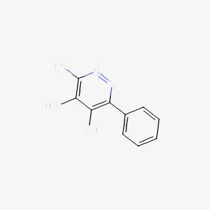 Cc1c(N)nnc(-c2ccccc2)c1C